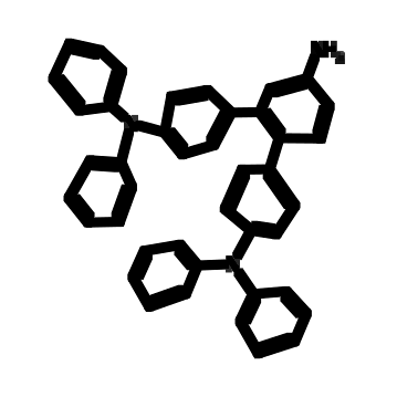 Nc1ccc(-c2ccc(N(c3ccccc3)c3ccccc3)cc2)c(-c2ccc(N(c3ccccc3)c3ccccc3)cc2)c1